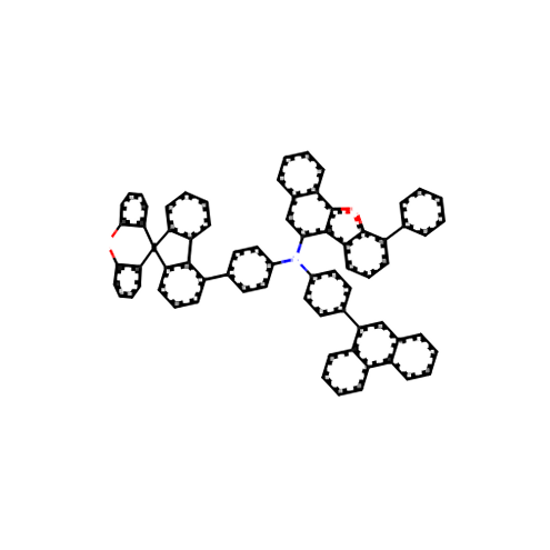 c1ccc(-c2cccc3c2oc2c4ccccc4cc(N(c4ccc(-c5cccc6c5-c5ccccc5C65c6ccccc6Oc6ccccc65)cc4)c4ccc(-c5cc6ccccc6c6ccccc56)cc4)c32)cc1